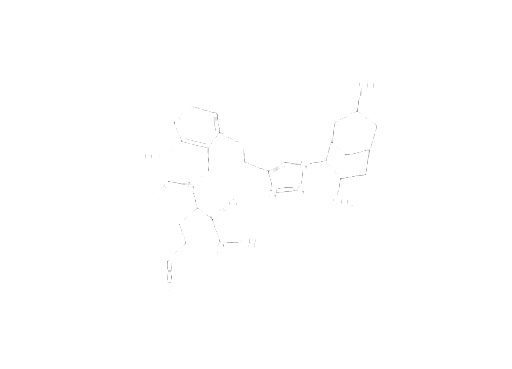 CNC(=O)C(CCC=O)N(C=O)Cc1c(C)cccc1OCc1cn(C2C(C)CC3CC(C)CC2C3)nn1